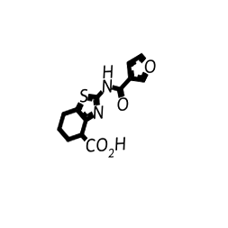 O=C(Nc1nc2c(s1)CCCC2C(=O)O)c1ccoc1